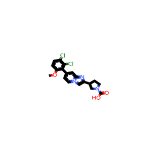 COc1ccc(Cl)c(Cl)c1-c1ccn2cc(C3CCN(C(=O)O)C3)nc2c1